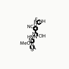 COc1nc(Nc2nccc(-c3ccc(OC4CCNCC4(F)F)c(C#N)c3)n2)ccc1N1CCN(C)[C@H](C)C1.Cl